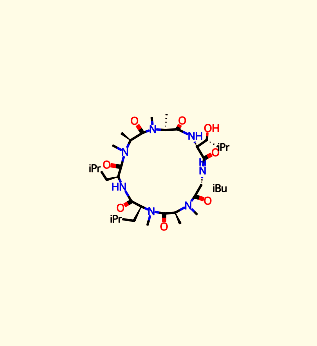 CC[C@H](C)[C@H]1NC(=O)[C@@H]([C@H](O)C(C)C)NC(=O)[C@@H](C)N(C)C(=O)[C@H](C)N(C)C(=O)[C@H](CC(C)C)NC(=O)[C@H](CC(C)C)N(C)C(=O)[C@H](C)N(C)C1=O